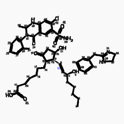 CCCCC[C@H](O)/C=C/[C@H]1[C@H](O)CC(=O)[C@@H]1CCCCCCC(=O)O.Cc1ccccc1N1C(=O)c2cc(S(N)(=O)=O)c(Cl)cc2NC1C.c1ccc(CC2=NCCN2)cc1